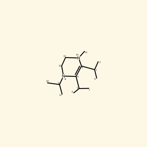 CC(C)C1=C(C(C)C)N(C(C)C)CCN1C